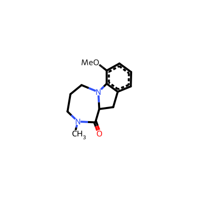 COc1cccc2c1N1CCCN(C)C(=O)C1C2